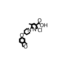 Cc1cc(C(=O)O)c(Cl)nc1N1CCC(Oc2ccc3c(c2)COC3)CC1